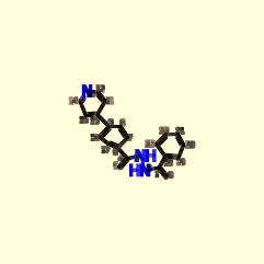 C=C(NNC(=C)c1ccc(-c2ccncc2)cc1)c1ccccc1